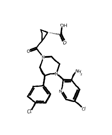 Nc1cc(Cl)cnc1N1CCN(C(=O)C2C[C@@H]2C(=O)O)CC1c1ccc(Cl)cc1